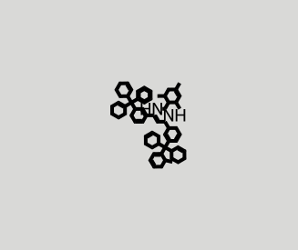 CC1=CC(C)C(C2NC(C3=CC(C(C4=CCCCC4)(c4ccccc4)C4C=CCCC4)CC=C3)=CC(C3C=C(C(C4=CC=CCC4C)(C4C=CCCC4)C4CC=CCC4)C=CC3)N2)C(C)C1